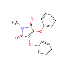 CN1C(=O)C(Oc2ccccc2)=C(Oc2ccccc2)C1=O